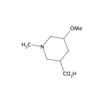 COC1CC(C(=O)O)CN(C)C1